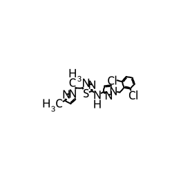 Cc1ccn(C(C)c2nnc(Nc3ccn(Cc4c(Cl)cccc4Cl)n3)s2)n1